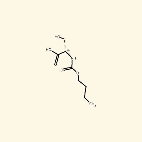 CCCCOC(=O)N[C@@H](CO)C(=O)O